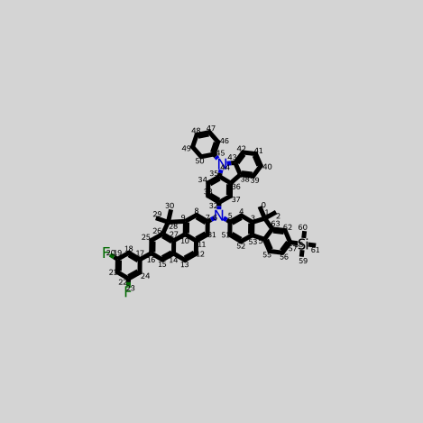 CC1(C)c2cc(N(c3cc4c5c(ccc6cc(-c7cc(F)cc(F)c7)cc(c65)C4(C)C)c3)c3ccc4c(c3)c3ccccc3n4C3=CC=CCC3)ccc2-c2ccc([Si](C)(C)C)cc21